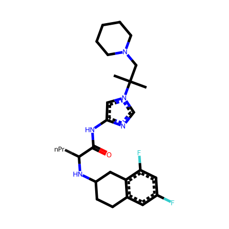 CCCC(NC1CCc2cc(F)cc(F)c2C1)C(=O)Nc1cn(C(C)(C)CN2CCCCC2)cn1